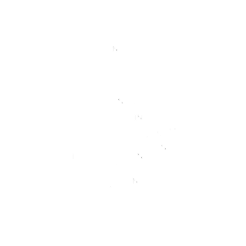 N#Cc1ccc(NCS(=O)(=O)Nc2nc(-c3ccc(Cl)cc3Cl)nc3ccccc23)nc1